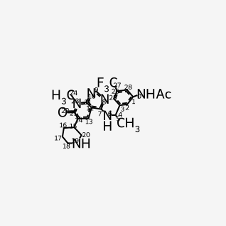 CC(=O)Nc1cc(C(C)Nc2ncnc3c2cc(C2CCCNC2)c(=O)n3C)cc(C(F)(F)F)c1